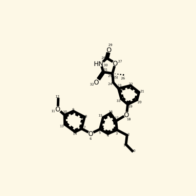 CCCc1cc(Oc2ccc(OC)cc2)ccc1Oc1cccc(C[C@]2(C)OC(=O)NC2=O)c1